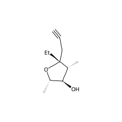 C#CC[C@@]1(CC)O[C@@H](C)[C@H](O)[C@H]1C